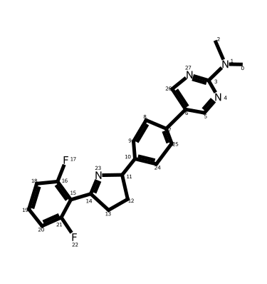 CN(C)c1ncc(-c2ccc(C3CCC(c4c(F)cccc4F)=N3)cc2)cn1